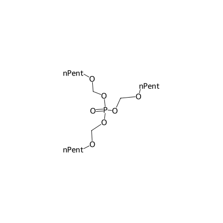 CCCCCOCOP(=O)(OCOCCCCC)OCOCCCCC